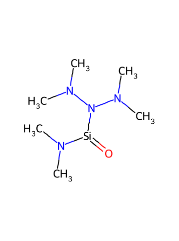 CN(C)N(N(C)C)[Si](=O)N(C)C